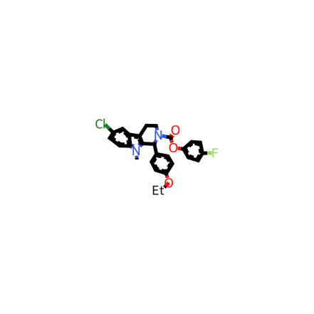 CCOc1ccc(C2c3c(c4cc(Cl)ccc4n3C)CCN2C(=O)Oc2ccc(F)cc2)cc1